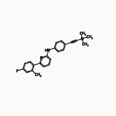 Cc1cc(F)ccc1-c1cccc(Nc2ccc(C#C[Si](C)(C)C)cc2)n1